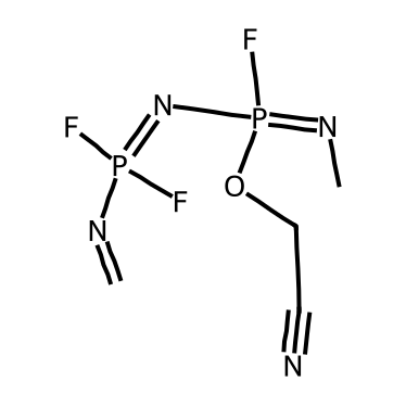 C=NP(F)(F)=NP(F)(=NC)OCC#N